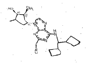 CC1C[C@@H](n2cnc3c(NC(C4CCC4)C4CCC4)nc(Cl)nc32)[C@H](O)[C@@H]1O